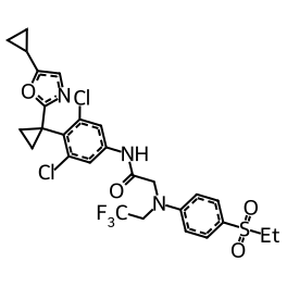 CCS(=O)(=O)c1ccc(N(CC(=O)Nc2cc(Cl)c(C3(c4ncc(C5CC5)o4)CC3)c(Cl)c2)CC(F)(F)F)cc1